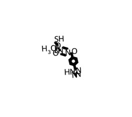 CP(=O)(OCS)N1CCN(C(=O)c2ccc(-c3nnn[nH]3)cc2)CC1